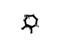 CC1=C(C)OCCNC1